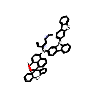 C=C/C(=C\C=C/C)N(c1ccc2c3ccccc3n(-c3ccc4c(c3)sc3ccccc34)c2c1)c1ccc2c3c(cccc13)C1(c3ccccc3Oc3ccccc31)c1ccccc1-2